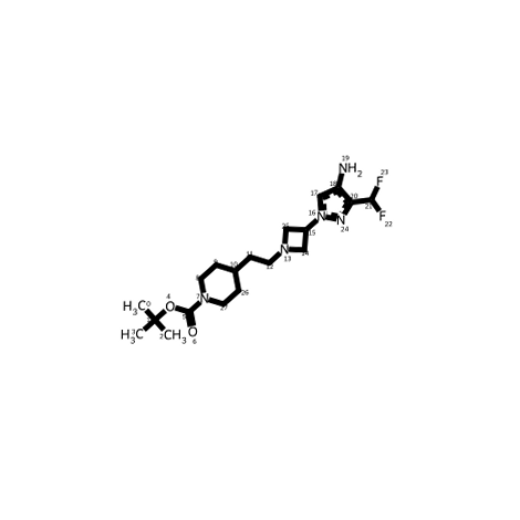 CC(C)(C)OC(=O)N1CCC(CCN2CC(n3cc(N)c(C(F)F)n3)C2)CC1